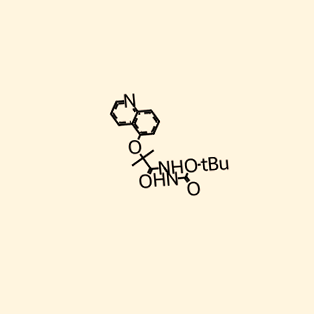 CC(C)(C)OC(=O)NNC(=O)C(C)(C)Oc1cccc2ncccc12